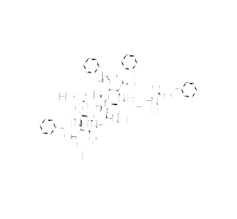 C[C@@H](OCc1ccccc1)[C@H](NC(=O)OC(C)(C)C)C(=O)NCC(=O)N[C@@H](CCCCNC(=O)OCc1ccccc1)C(=O)N[C@H](C(=O)OCc1ccccc1)[C@@H](C)OCc1ccccc1